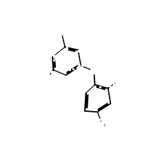 Nc1cc(Cl)cc(Oc2ccc(N)cc2Cl)c1